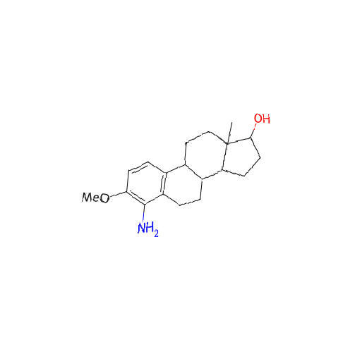 COc1ccc2c(c1N)CCC1C2CCC2(C)C(O)CCC12